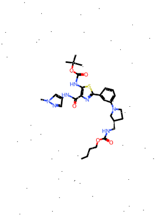 CCCCOC(=O)NC[C@@H]1CCN(c2cccc(-c3nc(C(=O)Nc4cnn(C)c4)c(NC(=O)OC(C)(C)C)s3)c2)C1